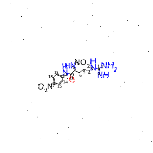 N=C(N)NCCC[C@H](N[N+](=O)[O-])C(=O)Nc1ccc([N+](=O)[O-])cc1